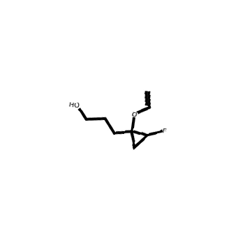 C=COC1(CCCO)CC1F